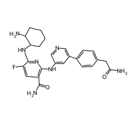 NC(=O)Cc1ccc(-c2cncc(Nc3nc(NC4CCCCC4N)c(F)cc3C(N)=O)c2)cc1